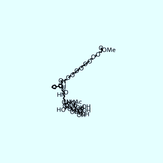 COC(=O)CCOCCOCCOCCOCCOCCOCCOCCOCCNC(=O)c1cc(OCC(=O)NCCCO[C@@H]2OC(CO)[C@H](O[C@@H]3OC(CO)[C@H](O)C(O[C@@H]4OC(CO)[C@H](O)C(O)C4O)C3O)C(O)C2NC(C)=O)cc(-c2ccccc2)c1